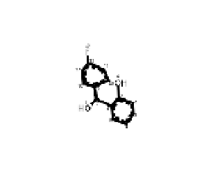 Oc1ccccc1C(O)c1ccc(F)cc1